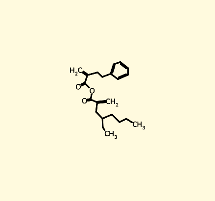 C=C(CCc1ccccc1)C(=O)OC(=O)C(=C)CC(CC)CCCC